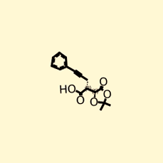 CC1(C)OC(=O)[C@H]([C@@H](CC#Cc2ccccc2)C(=O)O)O1